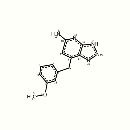 COc1cccc(Cc2cc(N)nc3[nH]nnc23)c1